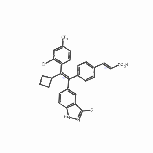 O=C(O)/C=C/c1ccc(/C(=C(\c2ccc(C(F)(F)F)cc2Cl)C2CCC2)c2ccc3[nH]nc(F)c3c2)cc1